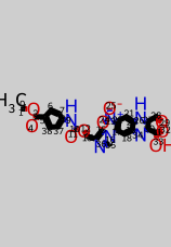 CCOC(=O)c1ccc(NC(=O)OCc2cn(-c3cc4c(cc3[N+](=O)[O-])NC(C=O)C(C(=O)O)=N4)cn2)cc1